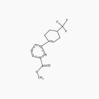 COC(=O)c1cccc(C2=CCC(C(F)(F)F)CC2)n1